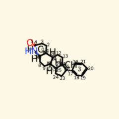 C[C@]12CCC(=O)N[C@@H]1CC[C@@H]1[C@@H]2CC[C@]2(C)[C@@H](c3ccccc3)CC[C@@H]12